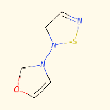 C1=CN(N2CC=NS2)CO1